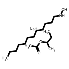 CCC(C)OC(C)=O.CCCCCCCCCCCCNO.[NaH]